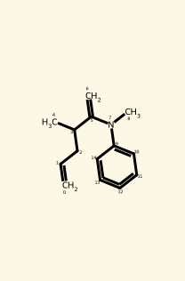 C=CCC(C)C(=C)N(C)C1=CC=C=C=C1